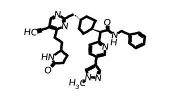 C#Cc1cnc(C[C@H]2CC[C@H](C(C(=O)NCc3ccccc3)c3ccc(-c4cnn(C)c4)cn3)CC2)nc1CCC1CCC(=O)N1